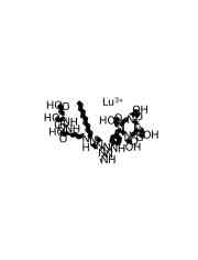 CCCCCCCCCCC(NCCCC[C@H](NC(=O)N[C@@H](CCC(=O)O)C(=O)O)C(=O)O)N1CCN(c2nc(NC)nc(Nc3ccc(CC4CN(CC(=O)O)CCN(CC(=O)O)CCN(CC(=O)O)CCN4CC(=O)O)cc3)n2)CC1.[Lu+3]